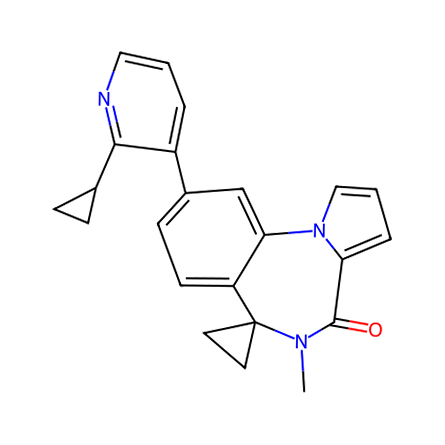 CN1C(=O)c2cccn2-c2cc(-c3cccnc3C3CC3)ccc2C12CC2